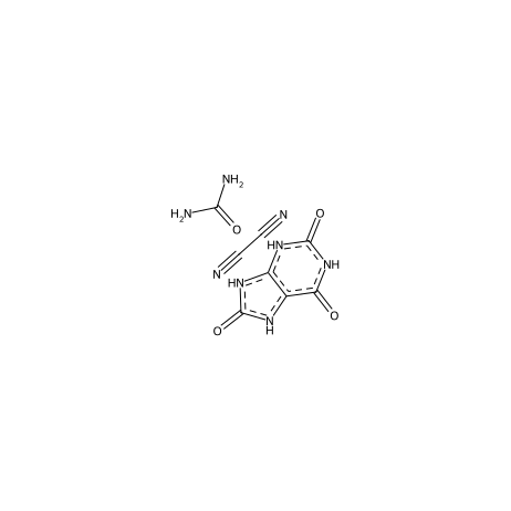 N#CC#N.NC(N)=O.O=c1[nH]c(=O)c2[nH]c(=O)[nH]c2[nH]1